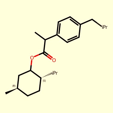 CC(C)Cc1ccc(C(C)C(=O)OC2C[C@H](C)CC[C@H]2C(C)C)cc1